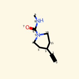 C#CC1CCN(C(=O)NC)CC1